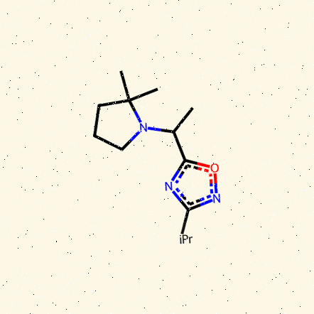 CC(C)c1noc(C(C)N2CCCC2(C)C)n1